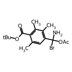 CC(=O)OC(N)(Br)c1cc(C)c(C(=O)OC(C)(C)C)c(C)c1C